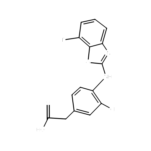 O=C(O)Cc1ccc(Nc2nc3cccc(F)c3o2)c(Cl)c1